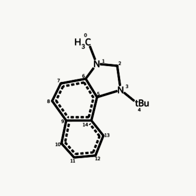 CN1CN(C(C)(C)C)c2c1ccc1ccccc21